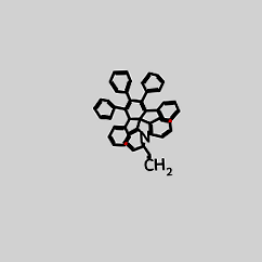 C=Cc1cccc(C2(c3ccccc3)C(c3ccccc3)=C(c3ccccc3)C(c3ccccc3)=C(c3ccccc3)C2c2ccccc2)n1